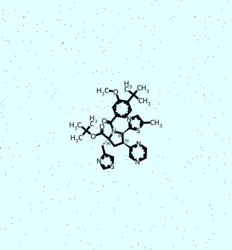 COc1cc(C(=O)N2[C@@H](c3ncc(C)s3)[C@@H](c3cnccn3)C[C@@]2(Cc2cscn2)C(=O)OC(C)(C)C)ccc1C(C)(C)C